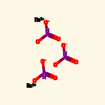 O=[PH]([O-])[O-].O=[PH]([O-])[O-].O=[PH]([O-])[O-].[Eu+3].[Eu+3]